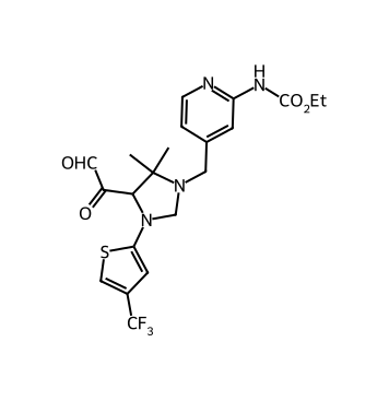 CCOC(=O)Nc1cc(CN2CN(c3cc(C(F)(F)F)cs3)C(C(=O)C=O)C2(C)C)ccn1